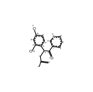 C=C(C)CC(C(=O)c1cccnc1)c1ccc(Cl)cc1Cl